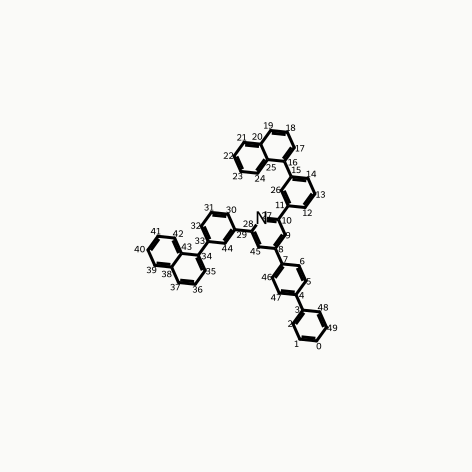 c1ccc(-c2ccc(-c3cc(-c4cccc(-c5cccc6ccccc56)c4)nc(-c4cccc(-c5cccc6ccccc56)c4)c3)cc2)cc1